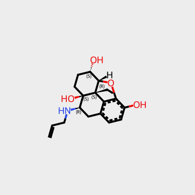 C=CCN[C@@H]1Cc2ccc(O)c3c2[C@@]2(CC)[C@@H](O3)[C@@H](O)CC[C@@]12O